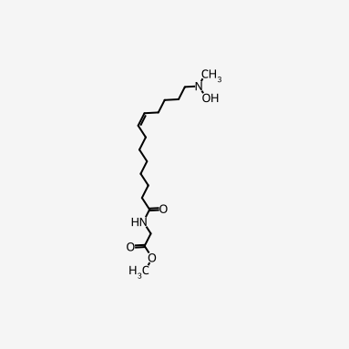 COC(=O)CNC(=O)CCCCCC/C=C\CCCCN(C)O